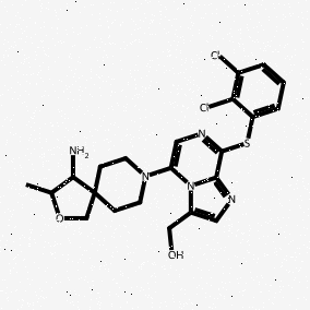 CC1OCC2(CCN(c3cnc(Sc4cccc(Cl)c4Cl)c4ncc(CO)n34)CC2)C1N